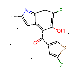 CC1=[C]C2=C(C(=O)c3csc(F)c3)C(O)=C(F)CC2=N1